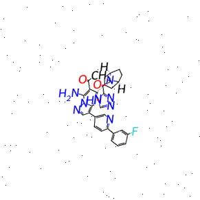 CC(=O)c1c([C@@H]2C[C@H]3CC[C@@H](C2)N3C(=O)c2nnc[nH]2)nc2c(-c3ccc(-c4cccc(F)c4)nc3)cnn2c1N